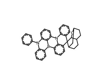 c1ccc(N2c3ccccc3B3c4cccc5c4N(c4ccccc4C54C5CCC6CCC(C5)CC64)c4cccc2c43)cc1